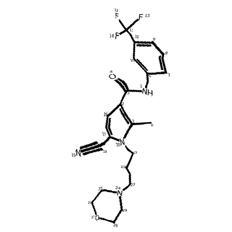 Cc1c(C(=O)Nc2cccc(C(F)(F)F)c2)cc(C#N)n1CCCN1CCOCC1